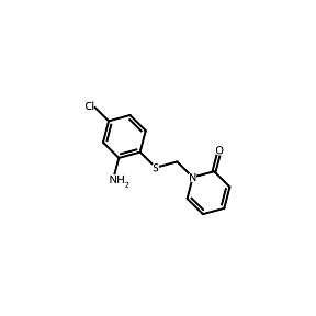 Nc1cc(Cl)ccc1SCn1ccccc1=O